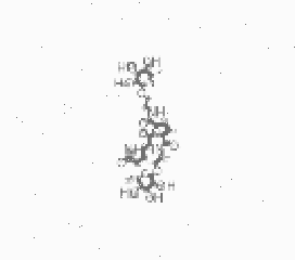 C[C@@H]1O[C@@H](OCCNC(=O)C2CC[C@@H](C(=O)NCCO[C@@H]3O[C@@H](C)[C@@H](O)[C@@H](O)[C@@H]3O)N2C(=O)CCCCC(N)=O)[C@@H](O)[C@H](O)[C@@H]1O